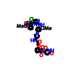 COc1cc(N2CCC(NC(=O)COc3cccc4c3C(=O)N(C3CCC(=O)NC3=O)C4=O)CC2)ccc1Nc1ncc(Cl)c(Nc2ccccc2P(=O)(OC)OC)n1